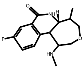 CNC1COCC(C)[C@H]2NC(=O)c3cc(F)ccc3C12